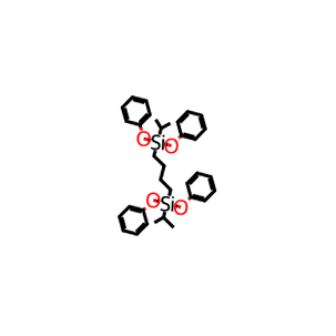 CC(C)[Si](CCCC[Si](Oc1ccccc1)(Oc1ccccc1)C(C)C)(Oc1ccccc1)Oc1ccccc1